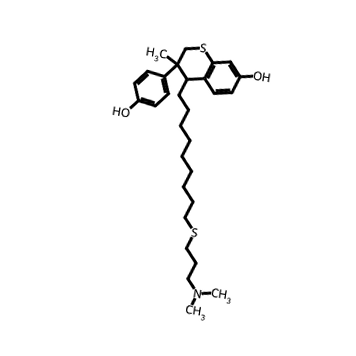 CN(C)CCCSCCCCCCCCCC1c2ccc(O)cc2SCC1(C)c1ccc(O)cc1